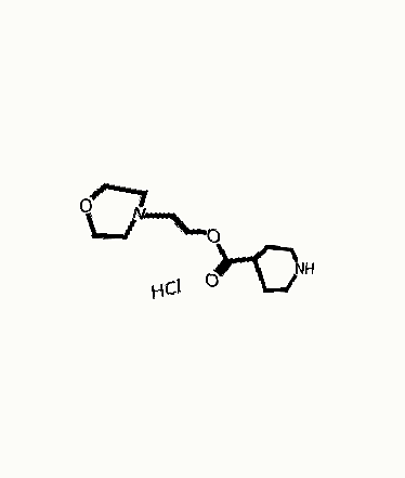 Cl.O=C(OCCN1CCOCC1)C1CCNCC1